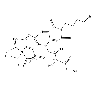 CC(=O)c1c(C(C(C)=O)(C(C)=O)C(C)=O)c(C)cc2nc3c(=O)n(CCCCBr)c(=O)nc-3n(C[C@@H](O)[C@@H](O)[C@@H](O)CO)c12